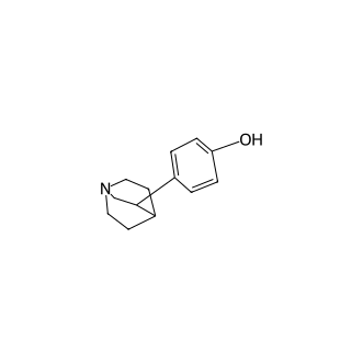 Oc1ccc(C2CN3CCC2CC3)cc1